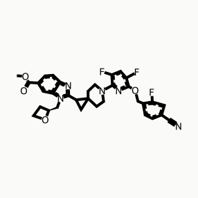 COC(=O)c1ccc2nc(C3CC34CCN(c3nc(OCc5ccc(C#N)cc5F)c(F)cc3F)CC4)n(C[C@@H]3CCO3)c2c1